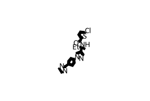 CCC(C)(NC(=O)c1ccc(Cl)s1)c1cnn(-c2ccc(C3=NCCN3C)cc2)c1